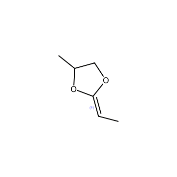 C/C=C1\OCC(C)O1